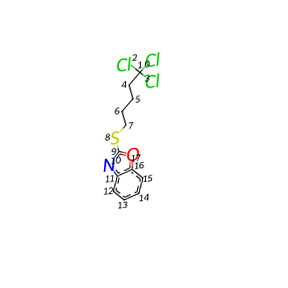 ClC(Cl)(Cl)CCCCSc1nc2ccccc2o1